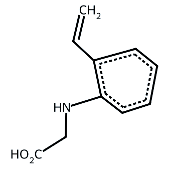 C=Cc1ccccc1NCC(=O)O